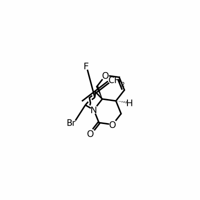 C=C1C(F)=CC=C(Br)N2C(=O)OC[C@@H]3C=COC[C@@]132